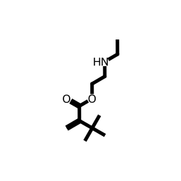 C=C(C(=O)OCCNCC)C(C)(C)C